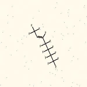 FC(=CC(F)(F)F)C(F)(F)C(F)(F)C(F)(F)C(F)(F)F